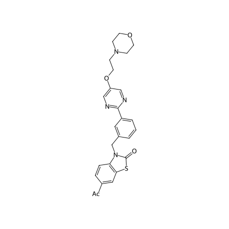 CC(=O)c1ccc2c(c1)sc(=O)n2Cc1cccc(-c2ncc(OCCN3CCOCC3)cn2)c1